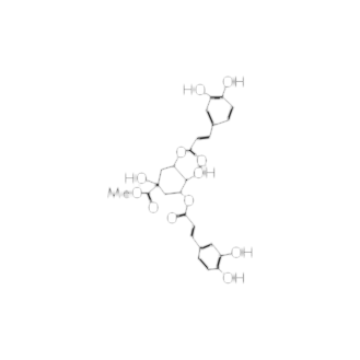 COC(=O)C1(O)CC(OC(=O)C=Cc2ccc(O)c(O)c2)C(O)C(OC(=O)C=Cc2ccc(O)c(O)c2)C1